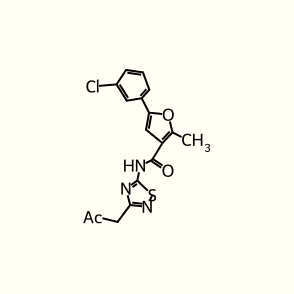 CC(=O)Cc1nsc(NC(=O)c2cc(-c3cccc(Cl)c3)oc2C)n1